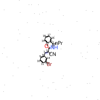 CCC[C@H](NC(=O)/C(C#N)=C/c1cccc(Br)c1)c1ccccc1